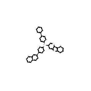 c1ccc(-c2ccc(N(c3ccc(-c4ccc5ccccc5c4)cc3)c3cnc4c(c3)sc3ccccc34)cc2)cc1